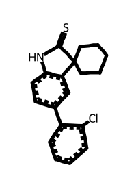 S=C1Nc2ccc(-c3ccccc3Cl)cc2C12CCCCC2